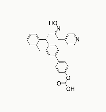 Cc1ccccc1[C@H](C/C(Cc1ccncc1)=N\O)c1ccc(-c2ccc(OC(=O)O)cc2)cc1